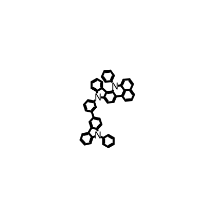 c1ccc(N2c3cccc4cccc(c34)-c3ccc4c(c32)c2ccccc2n4-c2cccc(-c3ccc4c(c3)c3ccccc3n4-c3ccccc3)c2)cc1